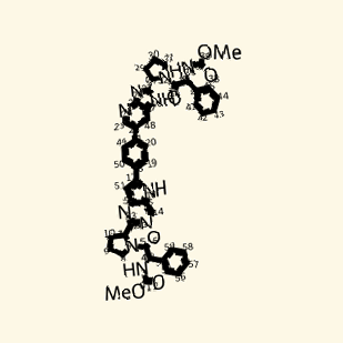 COC(=O)N[C@@H](C(=O)N1CCCC1c1ncc2[nH]c(-c3ccc(-c4cnc5nc([C@@H]6CCCN6C(=O)[C@H](NC(=O)OC)c6ccccc6)[nH]c5c4)cc3)cc2n1)c1ccccc1